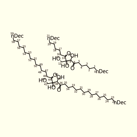 CCCCCCCCCCCCCCCC(=O)C(O)C(O)(CO)C(=O)CCCCCCCCCCCCCCC.CCCCCCCCCCCCCCCCCCCCCCCC(=O)C(O)C(O)(CO)C(=O)CCCCCCCCCCCCCCCCCCCCCCC